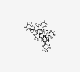 CC1(C)c2ccccc2-c2cc3c(oc4ccccc43)c(-c3cccc(-c4nc(-c5ccccc5)nc(-c5ccccc5)n4)c3)c21